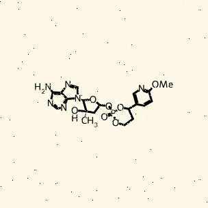 COc1ccc(C2CCOP(=O)(OC3C[C@@](C)(O)[C@H](n4cnc5c(N)ncnc54)O3)O2)cn1